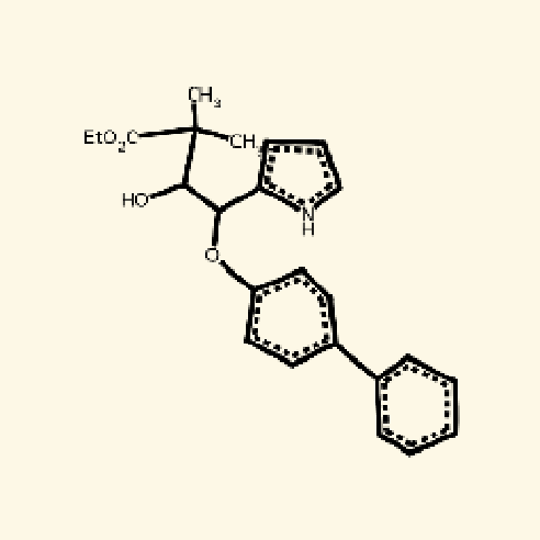 CCOC(=O)C(C)(C)C(O)C(Oc1ccc(-c2ccccc2)cc1)c1ccc[nH]1